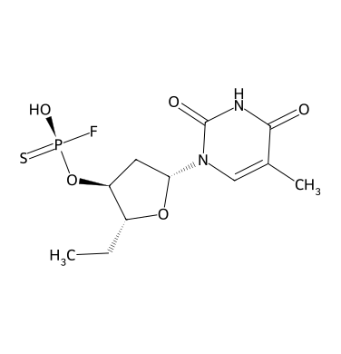 CC[C@H]1O[C@@H](n2cc(C)c(=O)[nH]c2=O)C[C@@H]1O[P@@](O)(F)=S